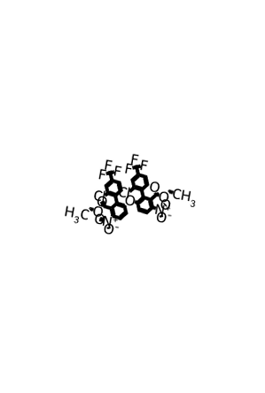 CCOC(=O)c1c([N+](=O)[O-])ccc(Oc2ccc([N+](=O)[O-])c(C(=O)OCC)c2-c2ccc(C(F)(F)F)cc2Cl)c1-c1ccc(C(F)(F)F)cc1Cl